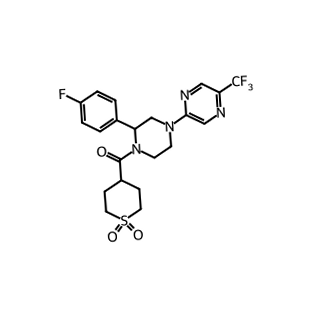 O=C(C1CCS(=O)(=O)CC1)N1CCN(c2cnc(C(F)(F)F)cn2)CC1c1ccc(F)cc1